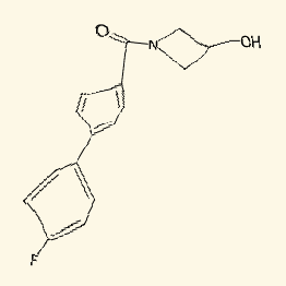 O=C(c1ccc(-c2ccc(F)cc2)cc1)N1CC(O)C1